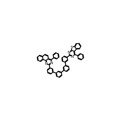 c1ccc(-c2nc(-c3cccc(-c4cccc(-c5cccc(-c6cccc(-c7nc(-c8ccccc8)c8c(n7)sc7ccccc78)c6)c5)c4)c3)nc3c2ccc2ccccc23)cc1